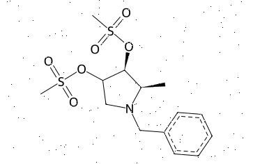 C[C@@H]1[C@H](OS(C)(=O)=O)C(OS(C)(=O)=O)CN1Cc1ccccc1